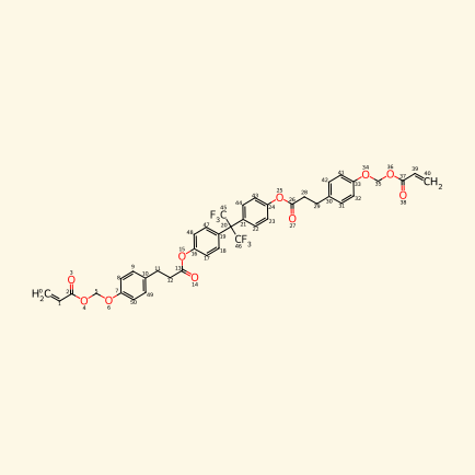 C=CC(=O)OCOc1ccc(CCC(=O)Oc2ccc(C(c3ccc(OC(=O)CCc4ccc(OCOC(=O)C=C)cc4)cc3)(C(F)(F)F)C(F)(F)F)cc2)cc1